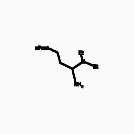 CCCCCCCC(N)N(CC)CC